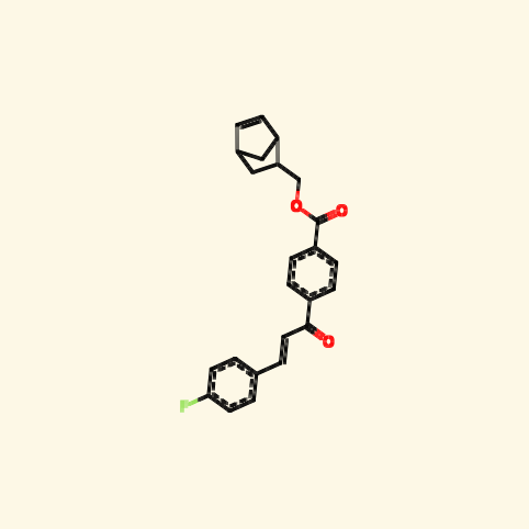 O=C(C=Cc1ccc(F)cc1)c1ccc(C(=O)OCC2CC3C=CC2C3)cc1